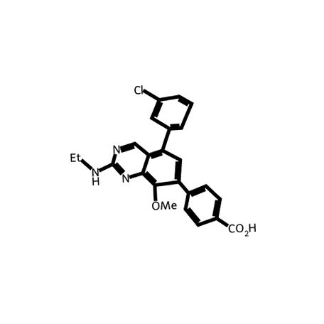 CCNc1ncc2c(-c3cccc(Cl)c3)cc(-c3ccc(C(=O)O)cc3)c(OC)c2n1